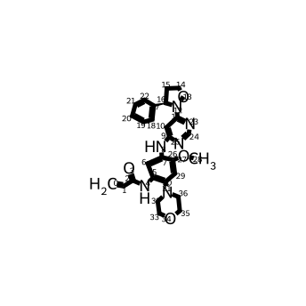 C=CC(=O)Nc1cc(Nc2cc(N3OCC[C@@H]3c3ccccc3)ncn2)c(OC)cc1N1CCOCC1